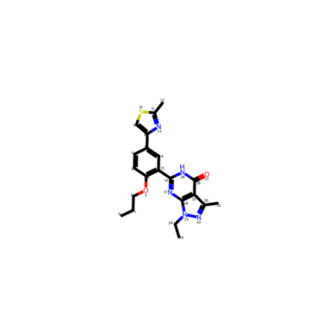 CCCOc1ccc(-c2csc(C)n2)cc1-c1nc2c(c(C)nn2CC)c(=O)[nH]1